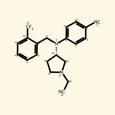 [C-]#[N+]c1ccc(N(Cc2ccccc2C(F)(F)F)[C@H]2CCN(CC#N)C2)cc1